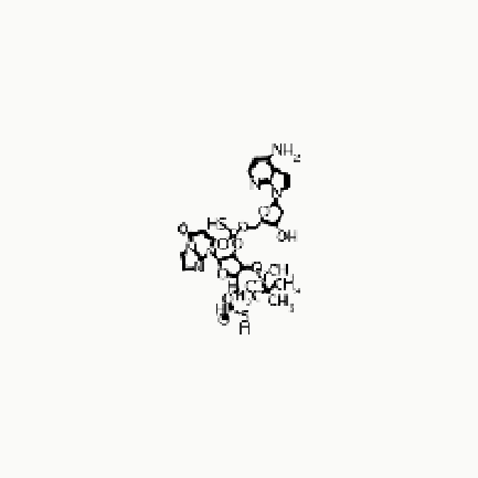 CC(C)(C)[Si](C)(C)OC1[C@@H](OP(=O)(S)OC[C@H]2O[C@@H](n3ccc4c(N)ccnc43)C[C@@H]2O)[C@H](n2ccc(=O)n3ccnc23)O[C@@H]1CO[PH](=O)S